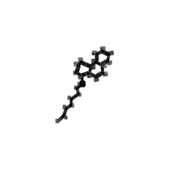 CCCCCCCOc1cccc2c1ccc1ccccc12